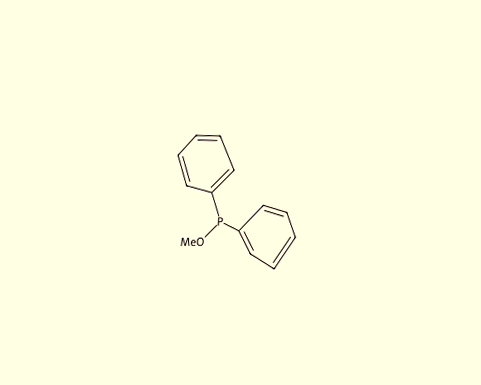 COP(c1ccccc1)c1ccccc1